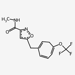 CNC(=O)c1cc(CC2=CCC(OC(F)(F)F)=CC=C2)on1